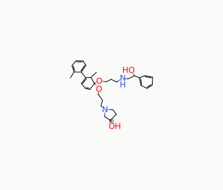 Cc1ccccc1C1=CC=CC(OCCCNCC(O)c2ccccc2)(OCCCN2CC[C@@H](O)C2)C1C